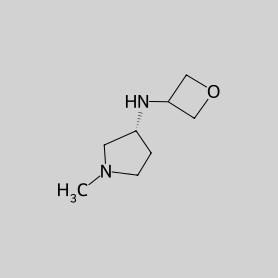 CN1CC[C@@H](NC2COC2)C1